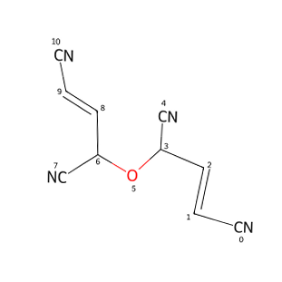 N#CC=CC(C#N)OC(C#N)C=CC#N